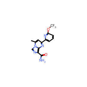 Cc1cc(-c2cccc(OC(F)(F)F)n2)nc2c(C(N)=O)ncn12